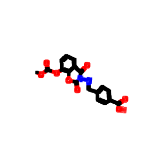 COC(=O)Oc1cccc2c(=O)n(N=Cc3ccc(C(=O)O)cc3)c(=O)oc12